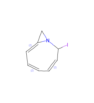 IC1\C=C/C=C\C=C2\CN21